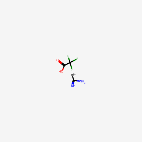 CCCC(=N)N.O=C(O)C(F)(F)F